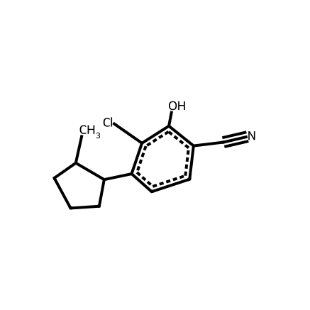 CC1CCCC1c1ccc(C#N)c(O)c1Cl